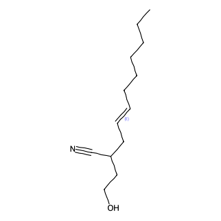 CCCCCC/C=C/CC(C#N)CCO